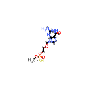 COP(=O)(S)OCCOCn1cnc2c(=O)[nH]c(N)nc21